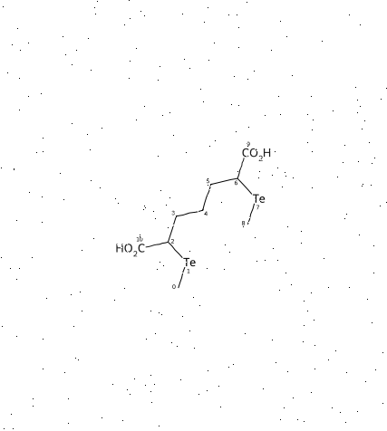 C[Te]C(CCCC([Te]C)C(=O)O)C(=O)O